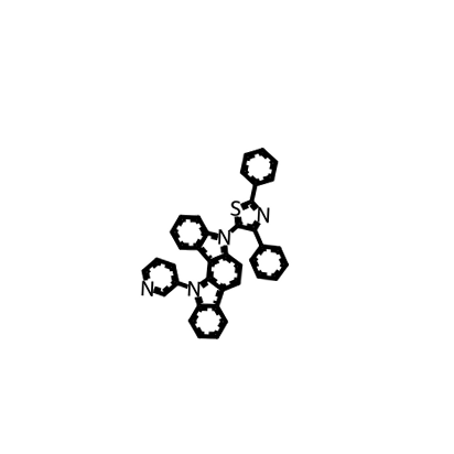 c1ccc(-c2nc(-c3ccccc3)c(-n3c4ccccc4c4c3ccc3c5ccccc5n(-c5cccnc5)c34)s2)cc1